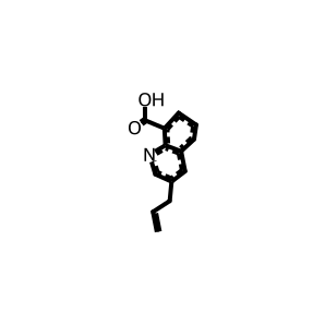 C=CCc1cnc2c(C(=O)O)cccc2c1